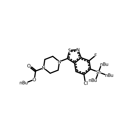 CCCCOC(=O)N1CCN(c2snc3c(F)[c]([Sn]([CH2]CCC)([CH2]CCC)[CH2]CCC)c(Cl)cc23)CC1